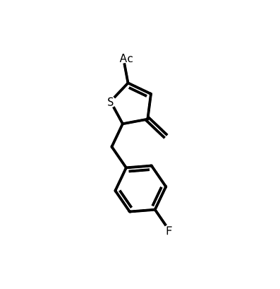 C=C1C=C(C(C)=O)SC1Cc1ccc(F)cc1